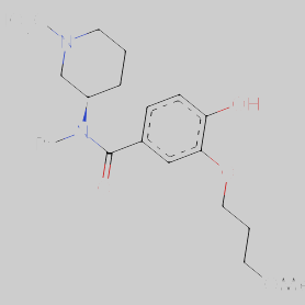 COCCCOc1cc(C(=O)N(C(C)C)[C@@H]2CCCN(C(=O)O)C2)ccc1O